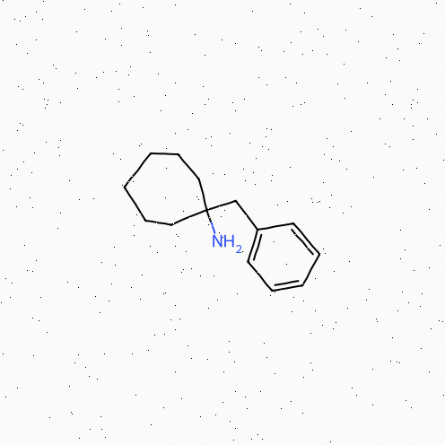 NC1(Cc2ccccc2)CCCCCC1